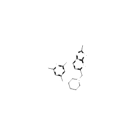 Cc1cc(C[C@H]2CCCN(Cc3ccc4sc(C)nc4n3)C2)cc(C)n1